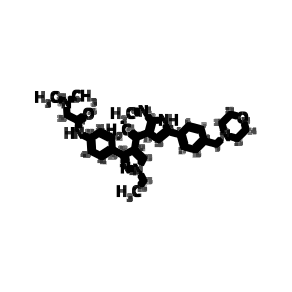 C=Nc1[nH]c(-c2ccc(CN3CCOCC3)cc2)cc1C(=C)c1cn(CC)nc1-c1ccc(NC(=O)CN(C)C)cc1